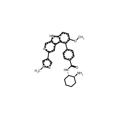 COc1ccc2[nH]c3cnc(-c4cnn(C)c4)cc3c2c1-c1ccc(C(=O)N[C@H]2CCCC[C@@H]2N)cc1